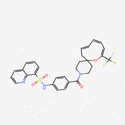 O=C(c1ccc(NS(=O)(=O)c2cccc3cccnc23)cc1)N1CCC2(C/C=C/C=C\C=C(\C(F)(F)F)O2)CC1